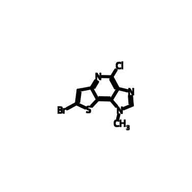 Cn1cnc2c(Cl)nc3cc(Br)sc3c21